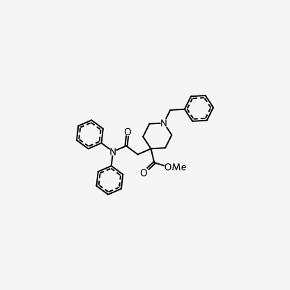 COC(=O)C1(CC(=O)N(c2ccccc2)c2ccccc2)CCN(Cc2ccccc2)CC1